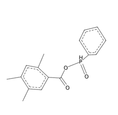 Cc1cc(C)c(C(=O)O[PH](=O)c2ccccc2)cc1C